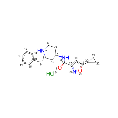 Cl.O=C(N[C@@H]1CCN[C@@H](Cc2ccccc2)C1)c1cc(C2CC2)on1